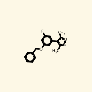 Cc1noc(C)c1-c1cc(F)cc(OCc2ccccc2)c1